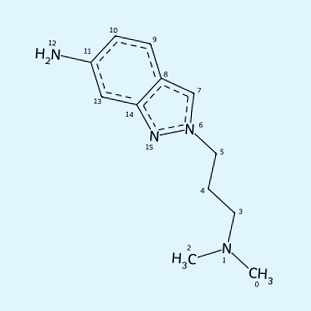 CN(C)CCCn1cc2ccc(N)cc2n1